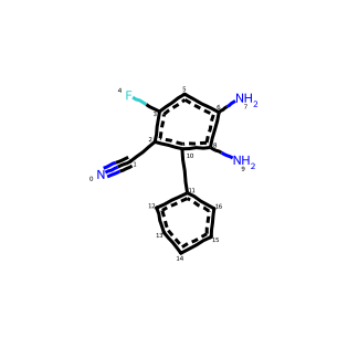 N#Cc1c(F)cc(N)c(N)c1-c1ccccc1